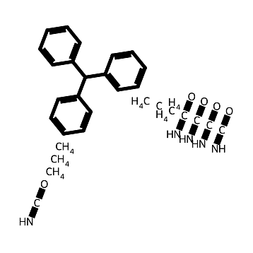 C.C.C.C.C.C.N=C=O.N=C=O.N=C=O.N=C=O.N=C=O.c1ccc(C(c2ccccc2)c2ccccc2)cc1